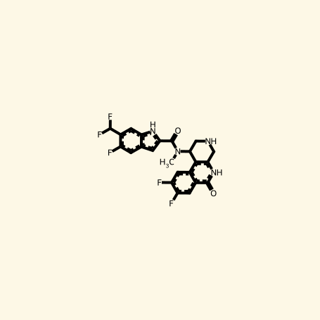 CN(C(=O)c1cc2cc(F)c(C(F)F)cc2[nH]1)C1CNCc2[nH]c(=O)c3cc(F)c(F)cc3c21